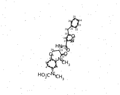 CN(C(=O)O)c1ccc2c(c1)N(C)C(=O)[C@@H](NC(=O)c1cc(Cc3ccccc3)on1)CO2